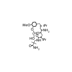 COc1ccc(C[C@@H](C[C@H](N)[C@@H](O)C[C@H](C(=O)NCC(C)(C)C(N)=O)C(C)C)C(C)C)cc1OCCCO